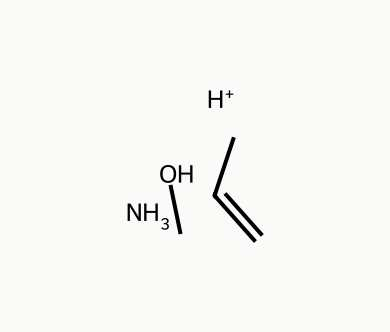 C=CC.CO.N.[H+]